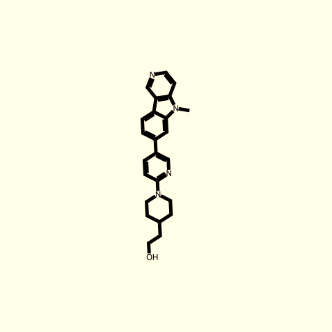 Cn1c2ccncc2c2ccc(-c3ccc(N4CCC(CCO)CC4)nc3)cc21